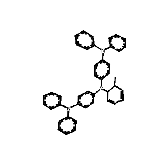 CC1C=CC=CC1N(c1ccc(N(c2ccccc2)c2ccccc2)cc1)c1ccc(N(c2ccccc2)c2ccccc2)cc1